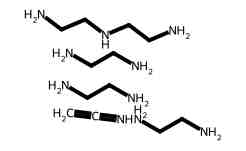 C=C=N.NCCN.NCCN.NCCN.NCCNCCN